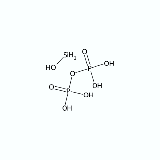 O=P(O)(O)OP(=O)(O)O.O[SiH3]